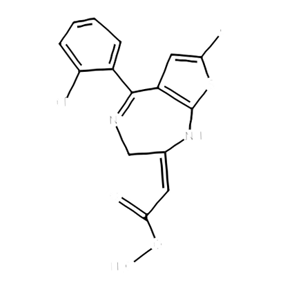 COC(=O)C=C1CN=C(c2ccccc2Cl)c2cc(Cl)sc2N1